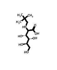 CC(C)(C)CNC(C(=O)O)[C@@H](O)[C@H](O)[C@H](O)CO